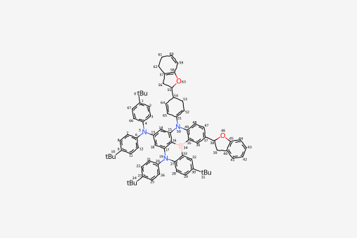 CC(C)(C)c1ccc(N(c2ccc(C(C)(C)C)cc2)c2cc3c4c(c2)N(c2ccc(C(C)(C)C)cc2)c2ccc(C(C)(C)C)cc2B4c2cc(C4Cc5ccccc5O4)ccc2N3C2=CCC(C3CC4=C(C=CCC4)O3)C=C2)cc1